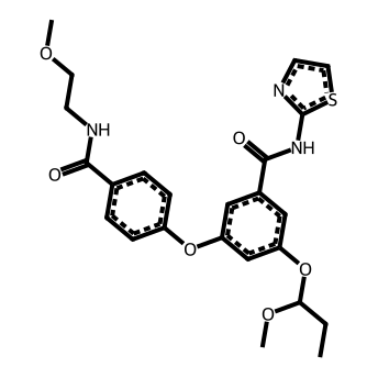 CCC(OC)Oc1cc(Oc2ccc(C(=O)NCCOC)cc2)cc(C(=O)Nc2nccs2)c1